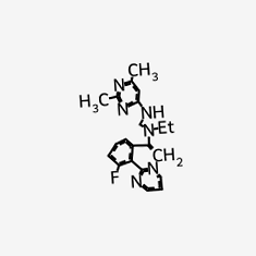 C=C(c1cccc(F)c1-c1ncccn1)N(CC)CNc1cc(C)nc(C)n1